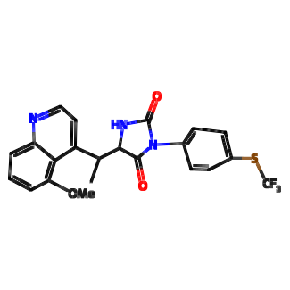 COc1cccc2nccc(C(C)C3NC(=O)N(c4ccc(SC(F)(F)F)cc4)C3=O)c12